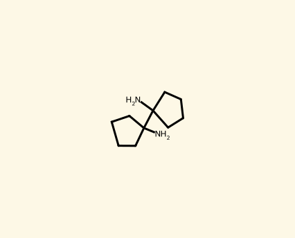 NC1(C2(N)CCCC2)CCCC1